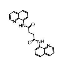 O=C(CCC(=O)Nc1cccc2cccnc12)Nc1cccc2cccnc12